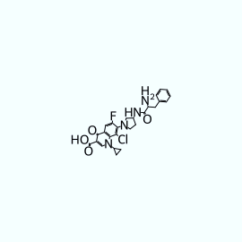 NC(Cc1ccccc1)C(=O)NC1CCN(c2c(F)cc3c(=O)c(C(=O)O)cn(C4CC4)c3c2Cl)C1